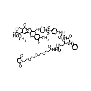 CC[C@@]1(O)C(=O)OCc2c1cc1n(c2=O)Cc2c-1nc1cc(F)c(C)cc1c2CN1CCN(S(=O)(=O)c2ccc(NC(=O)CNC(=O)[C@H](Cc3ccccc3)NC(=O)CNC(=O)CNC(=O)CCOCCOCCOCCN3C(=O)C=CC3=O)cc2)CC1